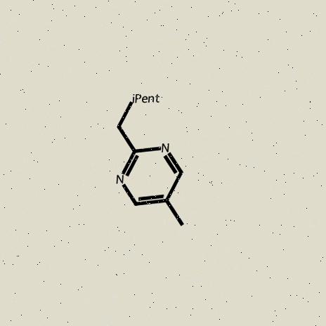 CCCC(C)Cc1ncc(C)cn1